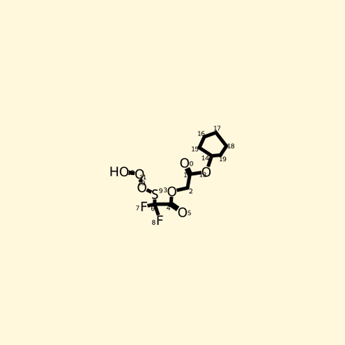 O=C(COC(=O)C(F)(F)SOOO)OC1CCCCC1